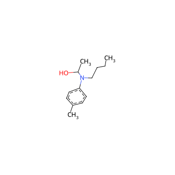 CCCCN(c1ccc(C)cc1)C(C)O